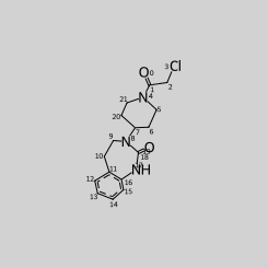 O=C(CCl)N1CCC(N2CCc3ccccc3NC2=O)CC1